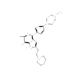 Cc1nc(-c2ccc(N3CCN(C(C)C)CC3)cc2)c2cc(CCN3CCCCC3)[nH]c2c1C